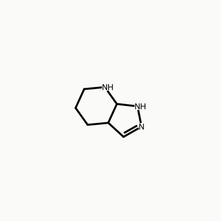 C1=NNC2NCCCC12